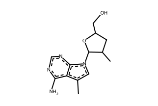 Cc1cn(C2OC(CO)CC2C)c2ncnc(N)c12